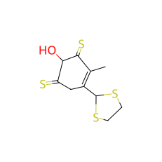 CC1=C(C2SCCS2)CC(=S)C(O)C1=S